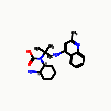 CC(C)(C)N(C(=O)O)[C@H]1CCCC[C@H]1N.Cc1cc(N)c2ccccc2n1